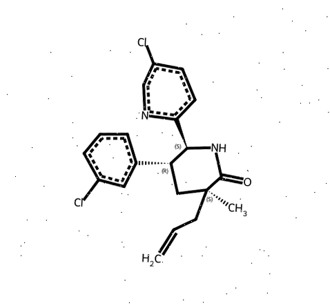 C=CC[C@@]1(C)C[C@H](c2cccc(Cl)c2)[C@@H](c2ccc(Cl)cn2)NC1=O